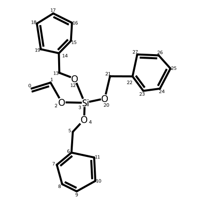 C=CO[Si](OCc1ccccc1)(OCc1ccccc1)OCc1ccccc1